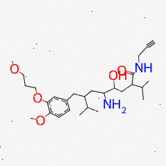 C#CCNC(=O)C(CC(O)C(N)CC(Cc1ccc(OC)c(OCCCOC)c1)C(C)C)C(C)C